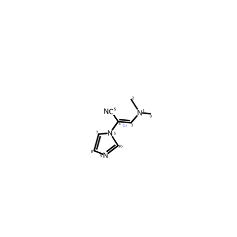 CN(C)/C=C(\C#N)n1ccnc1